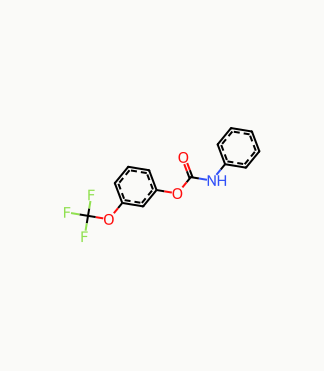 O=C(Nc1ccccc1)Oc1cccc(OC(F)(F)F)c1